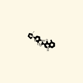 Cc1cccc2[nH]cc(C(=O)Nc3ccc(N4CCC[C@@H]4C)nc3C(F)(F)F)c(=O)c12